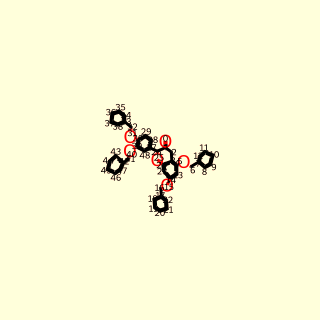 O=C1Cc2c(OCc3ccccc3)cc(OCc3ccccc3)cc2OC1c1ccc(OCc2ccccc2)c(OCc2ccccc2)c1